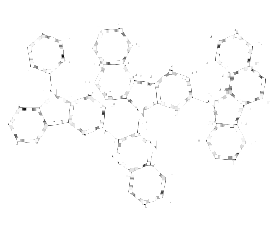 c1ccc(-n2c3ccccc3c3cc(-c4nc5ccccc5nc4-n4c5cc(-n6c7ccccc7c7ccc8ccccc8c76)ccc5c5c6ccccc6ccc54)ccc32)cc1